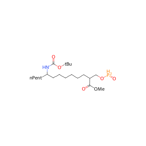 CCCCCC(CCCCCCC(CO[PH2]=O)C(=O)OC)NC(=O)OC(C)(C)C